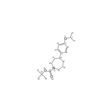 CC(C)Oc1ccc(C2CCCN(C(=O)OC(C)(C)C)CC2)cc1